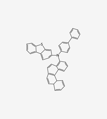 C1=CC2C=Cc3ccc4c(N(c5ccc(-c6ccccc6)cc5)c5ccc6c(c5)sc5ccccc56)cccc4c3C2C=C1